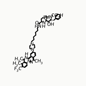 Cc1c([C@@H](C)Nc2nnc(C)c3ccc(N4CCN(CCCCCCCNC(=O)C(CC(C)C)NC(=O)[C@@H](O)[C@@H](Cc5ccccc5)NC(=O)O)CC4)cc23)cccc1C(F)(F)F